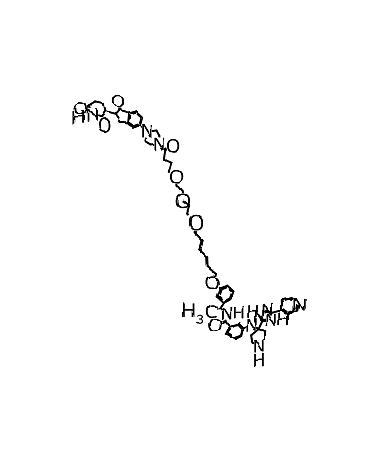 C[C@@H](NC(=O)c1cccc(NC2(c3nnc(-c4ccncc4)[nH]3)CCNCC2)c1)c1cccc(OCCCCCCOCCOCCOCCCC(=O)N2CCN(c3ccc4c(c3)CC(C3CCC(=O)NC3=O)C4=O)CC2)c1